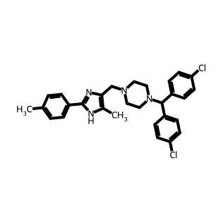 Cc1ccc(-c2nc(CN3CCN(C(c4ccc(Cl)cc4)c4ccc(Cl)cc4)CC3)c(C)[nH]2)cc1